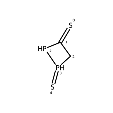 S=C1C[PH](=S)P1